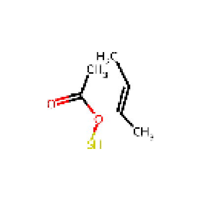 CC(=O)OS.CC=CC